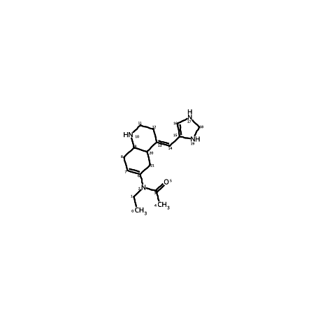 CCN(C(C)=O)C1=CCC2NCC/C(=C\C3=CNCN3)C2C1